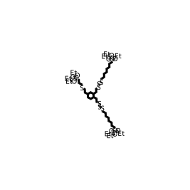 CCO[Si](CCCCCCCCSSSCCC1CCC(CCSCCC[Si](OCC)(OCC)OCC)CC1CCSSSCCCCCCCC[Si](OCC)(OCC)OCC)(OCC)OCC